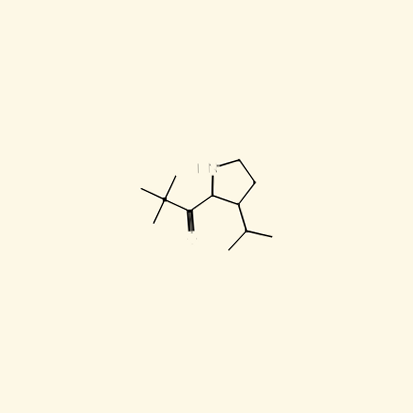 CC(C)C1CCNC1C(=O)C(C)(C)C